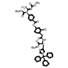 CC(C)(C)OC(=O)N=C(N)N(C(=O)OC(C)(C)C)c1ccc(C(=O)Oc2ccc(CC(=O)N[C@@H](Cc3cn(C(c4ccccc4)(c4ccccc4)c4ccccc4)cn3)C(=O)OC(C)(C)C)c(Cl)c2)cc1